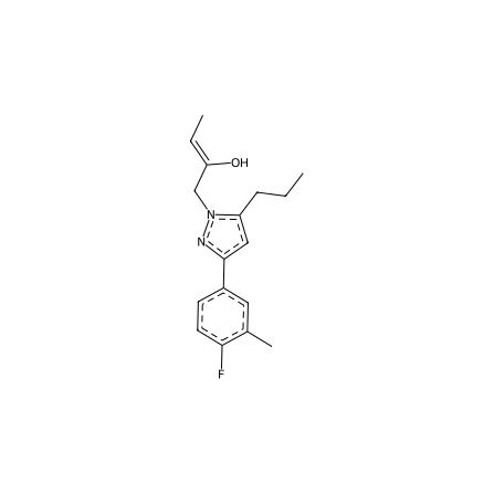 CC=C(O)Cn1nc(-c2ccc(F)c(C)c2)cc1CCC